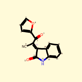 N#C/C(C(=O)c1ccco1)=C1\C(=O)Nc2ccccc21